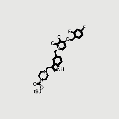 CC(C)(C)OC(=O)N1CCN(Cc2c[nH]c3ccc(Cn4ccc(OCc5ccc(F)cc5F)c(Cl)c4=O)cc23)CC1